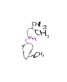 Cc1cccc(CPCC(C)C)c1